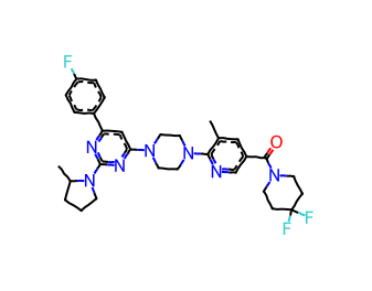 Cc1cc(C(=O)N2CCC(F)(F)CC2)cnc1N1CCN(c2cc(-c3ccc(F)cc3)nc(N3CCCC3C)n2)CC1